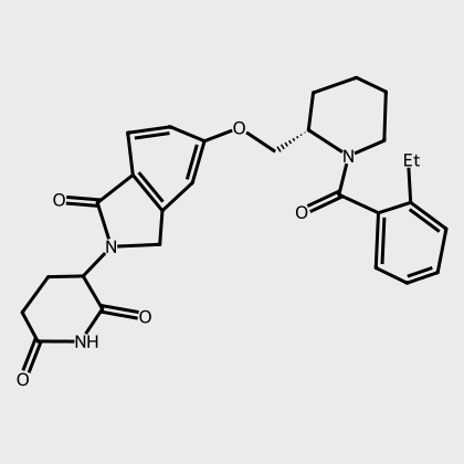 CCc1ccccc1C(=O)N1CCCC[C@H]1COc1ccc2c(c1)CN(C1CCC(=O)NC1=O)C2=O